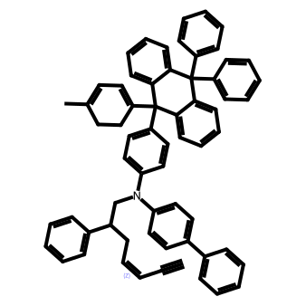 C#C/C=C\CC(CN(c1ccc(-c2ccccc2)cc1)c1ccc(C2(C3=CC=C(C)CC3)c3ccccc3C(c3ccccc3)(c3ccccc3)c3ccccc32)cc1)c1ccccc1